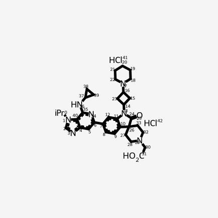 CC(C)n1cnc2cc(-c3ccc4c(c3)N(C3CC(N5CCCCC5)C3)C(=O)C43CCN(CC(=O)O)CC3)nc(NC3CC3)c21.Cl.Cl